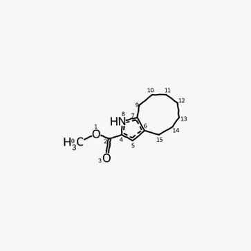 COC(=O)c1cc2c([nH]1)CCCCCCC2